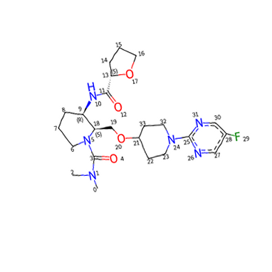 CN(C)C(=O)N1CCC[C@@H](NC(=O)[C@@H]2CCCO2)[C@H]1COC1CCN(c2ncc(F)cn2)CC1